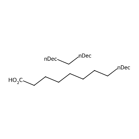 CCCCCCCCCCCCCCCCCC(=O)O.CCCCCCCCCCCCCCCCCCCCC